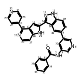 O=C(Nc1cncc(-c2ccc3[nH]nc(-c4cc5c(-c6ccncc6)nccc5[nH]4)c3c2)c1)c1ccccc1